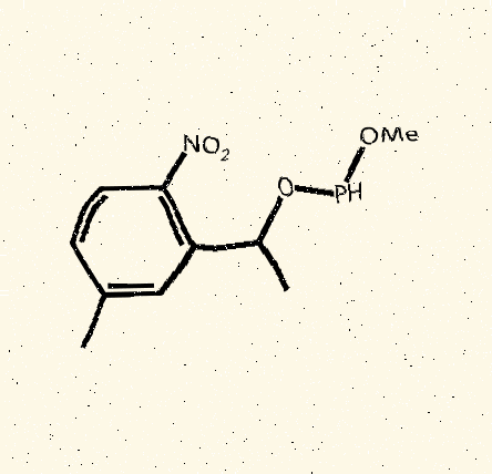 COPOC(C)c1cc(C)ccc1[N+](=O)[O-]